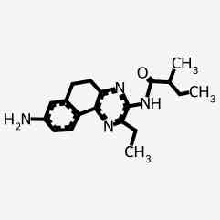 CCc1nc2c(nc1NC(=O)C(C)CC)CCc1cc(N)ccc1-2